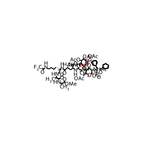 COC(=O)[C@@H](C)NC(=O)[C@@H](C)NC(=O)[C@H](CCCCNC(=O)C(F)(F)F)NC(=O)CCC(NC(=O)[C@H](C)NC(=O)[C@@H](C)O[C@@H]1C(NC(C)=O)[C@@H](OP(=O)(OCc2ccccc2)OCc2ccccc2)OC(COC(C)=O)[C@H]1O[C@@H]1O[C@@H](COC(C)=O)[C@@H](OC(C)=O)C(OC(C)=O)C1NC(C)=O)C(N)=O